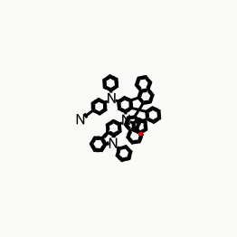 N#Cc1ccc(N(c2ccccc2)c2cc3c(c(N(c4ccccc4)c4ccc5c6ccccc6n(-c6ccccc6)c5c4)c2)C2(c4ccccc4-c4c2ccc2ccccc42)c2ccc4ccccc4c2-3)cc1